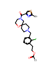 CCC(=O)OCCc1cccc(CN2CCC3(CC2)CN(C(=O)c2csc(C(C)C)n2)CCO3)c1F